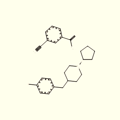 N#Cc1cccc(C(=O)N[C@@H]2CCC[C@H]2N2CCC(Cc3ccc(Cl)cc3)CC2)c1